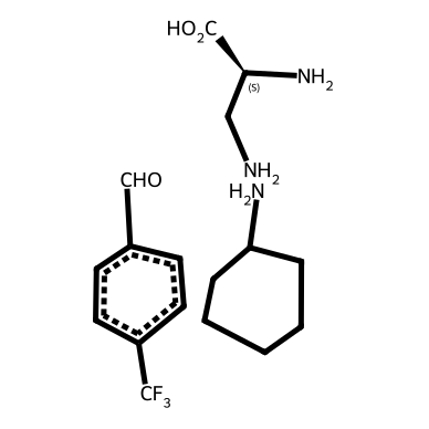 NC1CCCCC1.NC[C@H](N)C(=O)O.O=Cc1ccc(C(F)(F)F)cc1